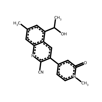 Cc1cc(C(C)O)c2cc(-c3ccn(C)c(=O)c3)c(C#N)nc2c1